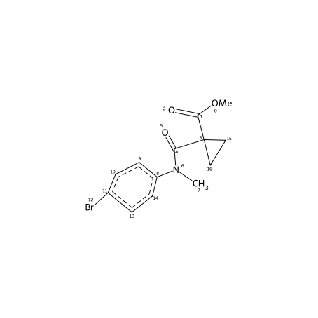 COC(=O)C1(C(=O)N(C)c2ccc(Br)cc2)CC1